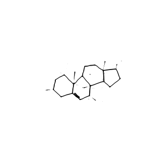 CC(=O)O[C@H]1C=C2C[C@@H](O)C[C@H](C)[C@]2(C)[C@H]2CC[C@]3(C)[C@@H](OC(C)=O)CC[C@H]3[C@H]12